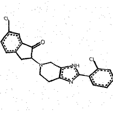 O=C1c2cc(Cl)ccc2CC1N1CCc2nc(-c3ccccc3Cl)[nH]c2C1